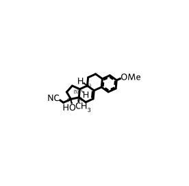 COc1ccc2c(c1)CC[C@@H]1C2=CC[C@@]2(C)[C@H]1CC[C@@]2(O)CC#N